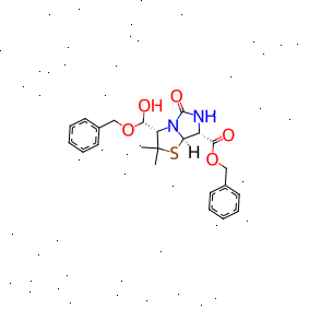 CC1(C)S[C@@H]2[C@@H](C(=O)OCc3ccccc3)NC(=O)N2[C@H]1C(O)OCc1ccccc1